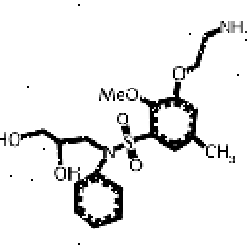 COc1c(OCCN)cc(C)cc1S(=O)(=O)N(CC(O)CO)c1ccccc1